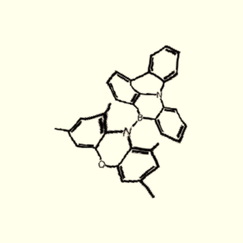 Cc1cc(C)c2c(c1)Oc1cc(C)cc(C)c1N2B1c2ccccc2-n2c3ccccc3c3cccc1c32